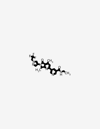 CCNC(=O)c1cncc(-c2cc(C)c3c(n2)C(C)N(c2cnn(CC(F)(F)F)c2)C3=O)c1